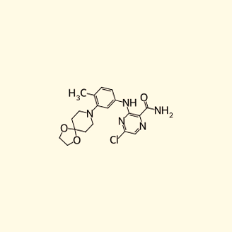 Cc1ccc(Nc2nc(Cl)cnc2C(N)=O)cc1N1CCC2(CC1)OCCO2